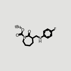 CC(C)(C)OC(=O)N1CCCCC(CNc2ccc(F)cc2)C1=O